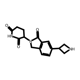 O=C1CCC(N2Cc3ccc(C4CNC4)cc3C2=O)C(=O)N1